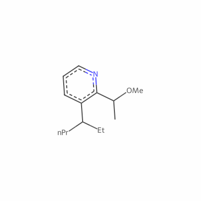 CCCC(CC)c1cccnc1C(C)OC